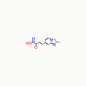 CC1CN2C=CC(/C=C/C(=O)NO)=CC2=N1